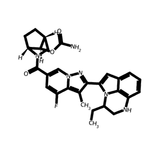 CCC1CNc2cccc3cc(-c4nn5cc(C(=O)N6C[C@H]7CC[C@@H]6[C@@H]7OC(N)=O)cc(F)c5c4C)n1c23